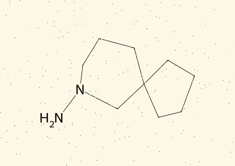 NN1CCCC2(CCCC2)C1